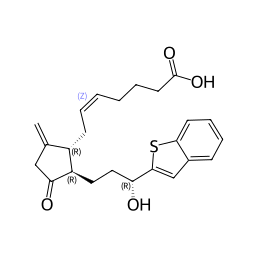 C=C1CC(=O)[C@H](CC[C@@H](O)c2cc3ccccc3s2)[C@H]1C/C=C\CCCC(=O)O